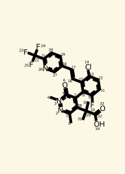 Cc1nn(C)c(=O)c(-c2c(F)ccc(Cl)c2/C=C/c2ccc(C(F)(F)F)nc2)c1C(C)(C)C(=O)O